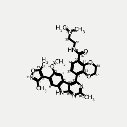 COc1cc2c(cc1-c1c(C)noc1C)[nH]c1nc(C)nc(-c3ccc(C(=O)NCCN(C)C)c4c3OCCO4)c12